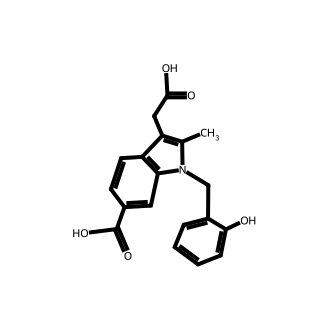 Cc1c(CC(=O)O)c2ccc(C(=O)O)cc2n1Cc1ccccc1O